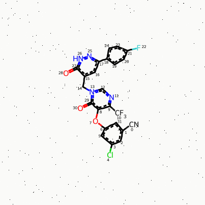 N#Cc1cc(Cl)cc(Oc2c(C(F)(F)F)ncn(Cc3cc(-c4ccc(F)cc4)n[nH]c3=O)c2=O)c1